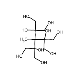 CC(C(O)(CO)CO)(C(O)(CO)CO)C(O)(CO)CO